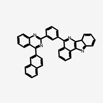 C1=CC2=Nc3c(nc(-c4cccc(-c5nc(-c6ccc7ccccc7c6)c6ccccc6n5)c4)c4ccccc34)C2C=C1